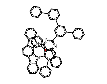 c1ccc(-c2cccc(-c3cc(-c4ccccc4)cc(-c4nc(-c5ccccc5)nc(-n5c6ccccc6c6ccc7c8ccccc8n(-c8c(-c9ccccc9)cccc8-c8ccccc8)c7c65)n4)c3)c2)cc1